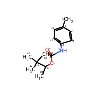 Cc1ccc(NC(=O)OC(C)C(C)(C)C)cc1